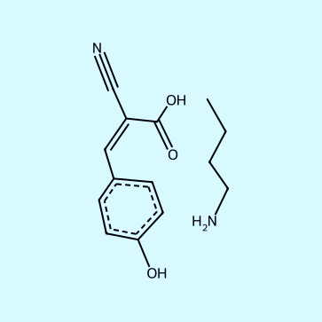 CCCCN.N#CC(=Cc1ccc(O)cc1)C(=O)O